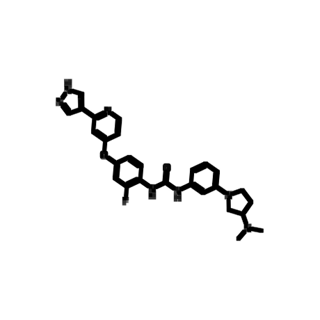 CN(C)C1CCN(c2cccc(NC(=O)Nc3ccc(Oc4ccnc(-c5cn[nH]c5)c4)cc3F)c2)C1